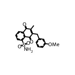 COc1cccc(CC2=C(C)C(=O)c3cccc(S(N)(=O)=O)c3C2=O)c1